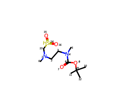 CN(CCN(C)C(=O)OC(C)(C)C)C[SH](=O)=O